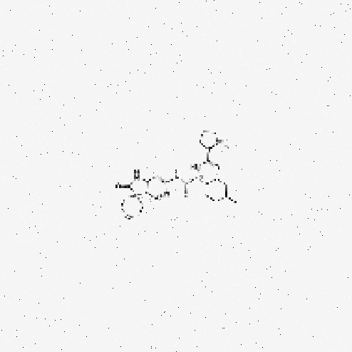 CC1CCC([C@H](NC(=O)N2CCC[C@@H]2C)C(=O)Nc2cc3c(cn2)C2(CCOCC2)C(=O)N3)CC1